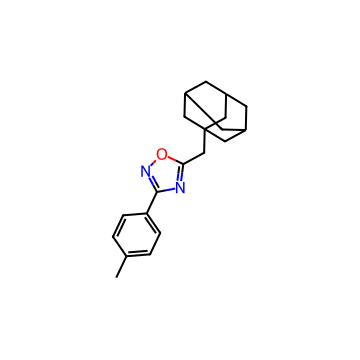 Cc1ccc(-c2noc(CC34CC5CC(CC(C5)C3)C4)n2)cc1